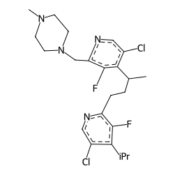 CC(C)c1c(Cl)cnc(CCC(C)c2c(Cl)cnc(CN3CCN(C)CC3)c2F)c1F